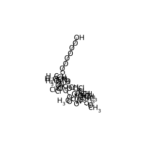 COc1ccc(C2=CN3C(=O)c4cc(OC)c(OCCCOc5cc6c(cc5OC)C(=O)N5C=C(c7ccc(OCCOCCOCCOCCOCCOCCO)cc7)CC5C(O[Si](C)(C)C(C)(C)C)N6C(=O)OCC(Cl)(Cl)Cl)cc4N(C(=O)OCC(Cl)(Cl)Cl)C(O[Si](C)(C)C(C)(C)C)C3C2)cc1